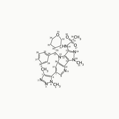 Cc1nnn(C)c1-c1cnc2c3c(c(NS(C)(=O)=O)nn3C)n([C@H](c3ccccc3)C3CCOCC3)c2c1